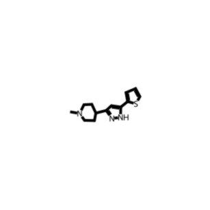 CN1CCC(c2cc(-c3cccs3)[nH]n2)CC1